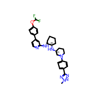 Cn1nnc(-c2ccc(N3CCC[C@H](N[C@@H]4CCCC[C@H]4Nc4cc(-c5ccc(OC(F)F)cc5)ccn4)C3)cc2)n1